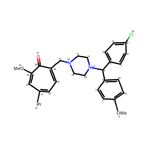 COc1ccc(C(c2ccc(Cl)cc2)N2CCN(Cc3ccc(C(C)C)cc(OC)c3=O)CC2)cc1